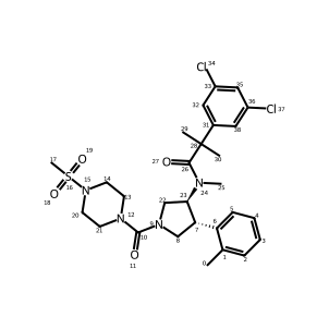 Cc1ccccc1[C@@H]1CN(C(=O)N2CCN(S(C)(=O)=O)CC2)C[C@H]1N(C)C(=O)C(C)(C)c1cc(Cl)cc(Cl)c1